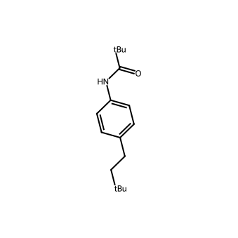 CC(C)(C)CCc1ccc(NC(=O)C(C)(C)C)cc1